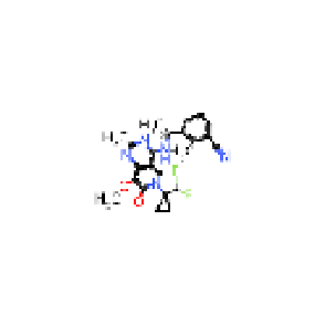 COc1c(=O)n(C2(C(F)F)CC2)cc2c(N[C@H](C)c3cccc(C#N)c3C)nc(C)nc12